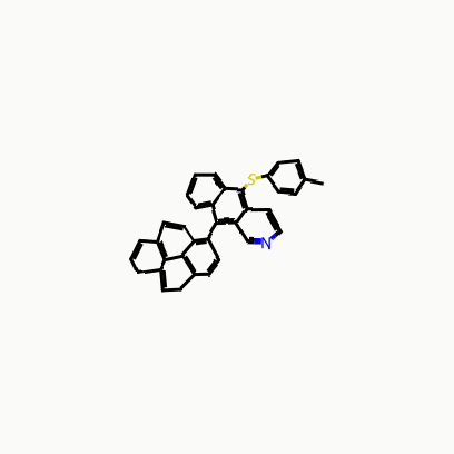 Cc1ccc(Sc2c3ccccc3c(-c3ccc4c5c6c(ccc35)C=CCC6=CC4)c3cnccc23)cc1